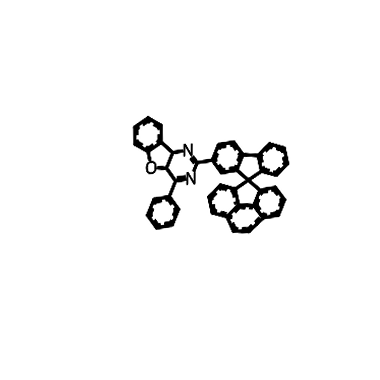 c1ccc(C2=NC(c3ccc4c(c3)C3(c5ccccc5-4)c4cccc5ccc6cccc3c6c45)=NC3c4ccccc4OC23)cc1